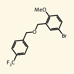 COc1ccc(Br)cc1COCc1ccc(C(F)(F)F)cc1